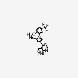 Cc1ccc(C(F)(F)F)cc1-n1cc(-c2ncnc3[nH]ncc23)cc1C#N